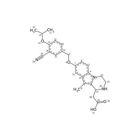 Cc1c2n(c3ccc(OCc4ccc(OC(C)C)c(C#N)c4)cc13)CCNC2CC(=O)O